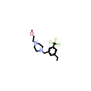 CCc1cc(CN2CCN(CCOC)CC2)cc(C(F)(F)F)c1